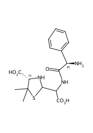 CC1(C)SC(C(NC(=O)[C@H](N)c2ccccc2)C(=O)O)N[C@H]1C(=O)O